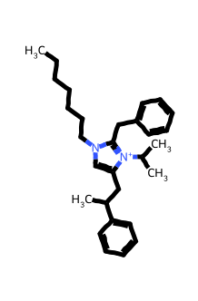 CCCCCCCn1cc(CC(C)c2ccccc2)[n+](C(C)C)c1Cc1ccccc1